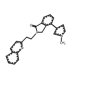 Cn1ccc(-c2cccc3c2CN(CCc2ccc4ccccc4n2)C3=O)c1